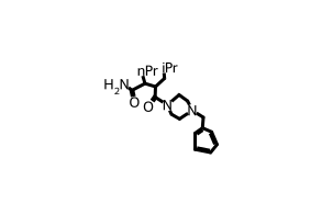 CCCC(C(N)=O)C(CC(C)C)C(=O)N1CCN(Cc2ccccc2)CC1